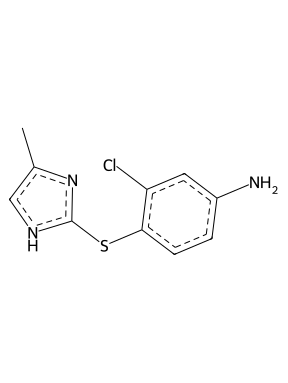 Cc1c[nH]c(Sc2ccc(N)cc2Cl)n1